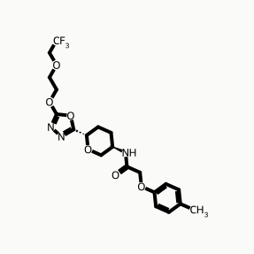 Cc1ccc(OCC(=O)N[C@@H]2CC[C@@H](c3nnc(OCCOCC(F)(F)F)o3)OC2)cc1